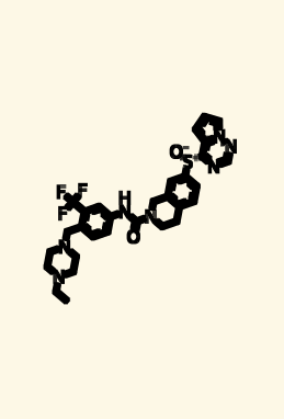 CCN1CCN(Cc2ccc(NC(=O)N3CCc4ccc([S+]([O-])c5ncnn6cccc56)cc4C3)cc2C(F)(F)F)CC1